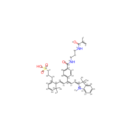 C=C(C)C(=O)NCCCNC(=O)c1ccc(C(=C\C=C2/N(C)c3ccccc3C2(C)C)/C=C/C2C(CCCS(=O)(=O)O)=CC=CC2(C)C)cc1